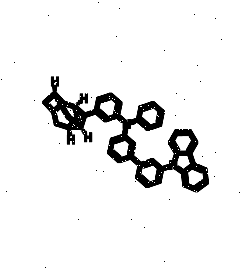 c1ccc(N(c2cccc(-c3cccc(-n4c5ccccc5c5ccccc54)c3)c2)c2cccc(C3[C@H]4C[C@H]5CC6C[C@@H](C[C@@H]35)C64)c2)cc1